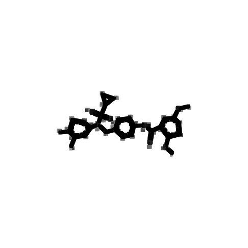 COc1ccc(OC)c(C(=O)Nc2ccc(CN(c3ccc(C)c(C)c3)S(=O)(=O)C3CC3)cc2)c1